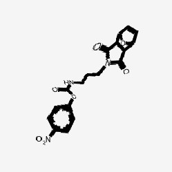 O=C(NCCCN1C(=O)C2C3C=CC(O3)C2C1=O)Oc1ccc([N+](=O)[O-])cc1